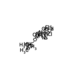 COCC(C)(C)NC(=O)CCc1ccc(N2C[C@@H]3CN(CC4=C(C(=O)OC)C(c5ccc(F)cc5Cl)N=C(c5nccs5)N4)CCN3C2=O)cc1